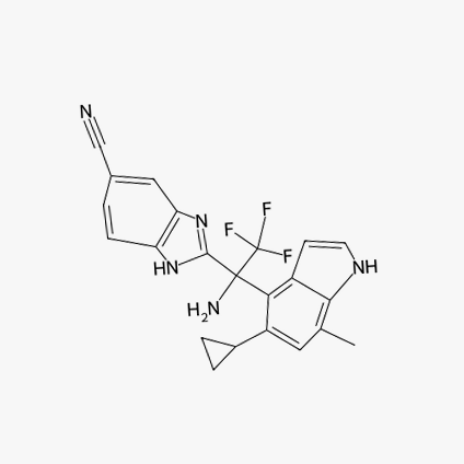 Cc1cc(C2CC2)c(C(N)(c2nc3cc(C#N)ccc3[nH]2)C(F)(F)F)c2cc[nH]c12